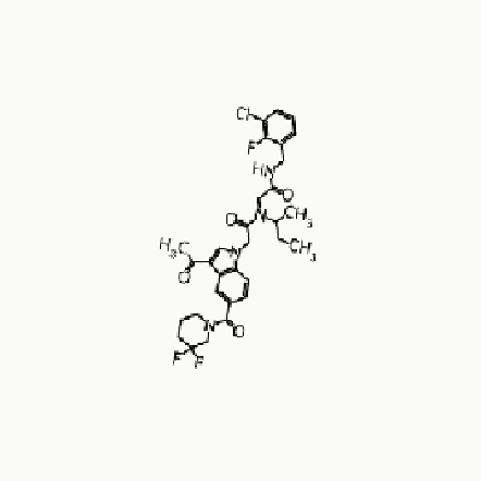 CCC(C)N(CC(=O)NCc1cccc(Cl)c1F)C(=O)Cn1cc(C(C)=O)c2cc(C(=O)N3CCCC(F)(F)C3)ccc21